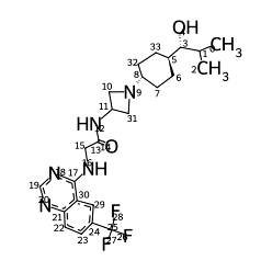 CC(C)[C@@H](O)[C@H]1CC[C@H](N2CC(NC(=O)CNc3ncnc4ccc(C(F)(F)F)cc34)C2)CC1